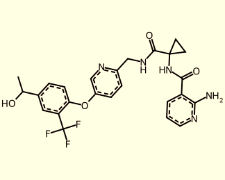 CC(O)c1ccc(Oc2ccc(CNC(=O)C3(NC(=O)c4cccnc4N)CC3)nc2)c(C(F)(F)F)c1